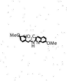 COc1ccc(CCNc2nc3cc(OC)ccc3cc2C(=O)O)cc1